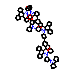 c1ccc(N(c2cccc(-n3c4ccccc4c4ccccc43)c2)c2c(-c3cccc4cc(-c5ccc(N(c6ccc(-n7c8ccccc8c8ccccc87)cc6)c6c(-c7ccc8ccc(-c9cccc%10c9c9cccc(N(c%11ccccc%11)c%11c(-c%12cccc%13ccccc%12%13)c%12ccccc%12c%12ccccc%11%12)c9n%10-c9ccccc9)cc8c7)c7ccccc7c7ccccc67)cc5)ccc34)c3ccccc3c3ccccc23)cc1